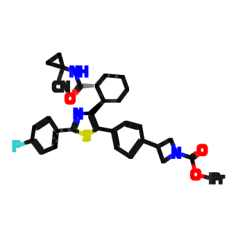 CC(C)OC(=O)N1CC(c2ccc(-c3sc(-c4ccc(F)cc4)nc3[C@@H]3CCCC[C@H]3C(=O)NC3(C#N)CC3)cc2)C1